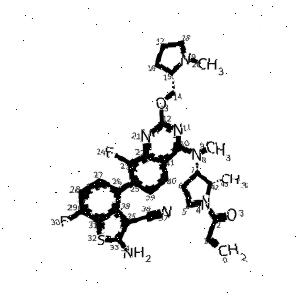 C=CC(=O)N1CC[C@H](N(C)c2nc(OC[C@@H]3CCCN3C)nc3c(F)c(-c4ccc(F)c5sc(N)c(C#N)c45)ccc23)[C@@H]1C